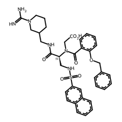 N=C(N)N1CCCC(CNC(=O)[C@H](CNS(=O)(=O)c2ccc3ccccc3c2)N(CC(=O)O)C(=O)c2ccccc2OCc2ccccc2)C1